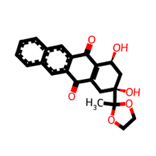 CC1([C@]2(O)CC3=C(C(=O)c4cc5ccccc5cc4C3=O)[C@@H](O)C2)OCCO1